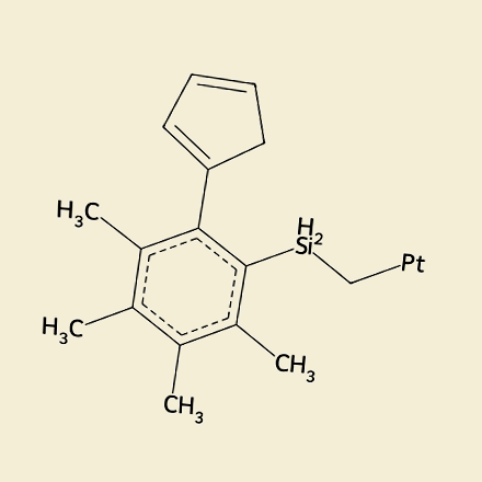 Cc1c(C)c(C)c(C2=CC=CC2)c([SiH2][CH2][Pt])c1C